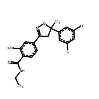 Nc1cc(C2=NOC(c3cc(Cl)cc(Cl)c3)(C(F)(F)F)C2)ccc1C(=O)NCC(F)(F)F